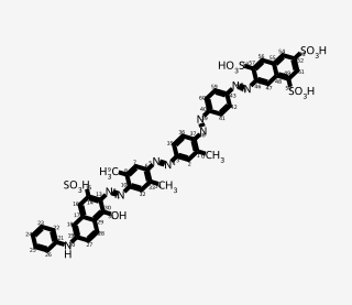 Cc1cc(N=Nc2cc(C)c(N=Nc3c(S(=O)(=O)O)cc4cc(Nc5ccccc5)ccc4c3O)cc2C)ccc1N=Nc1ccc(N=Nc2cc3c(S(=O)(=O)O)cc(S(=O)(=O)O)cc3cc2S(=O)(=O)O)cc1